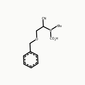 CC(C)(C)N(C(=O)O)C(C#N)COCc1ccccc1